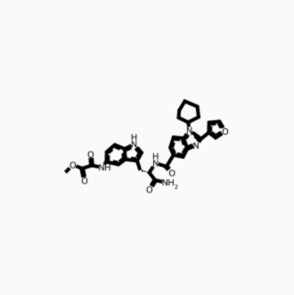 COC(=O)C(=O)Nc1ccc2[nH]cc(C[C@H](NC(=O)c3ccc4c(c3)nc(-c3ccoc3)n4C3CCCCC3)C(N)=O)c2c1